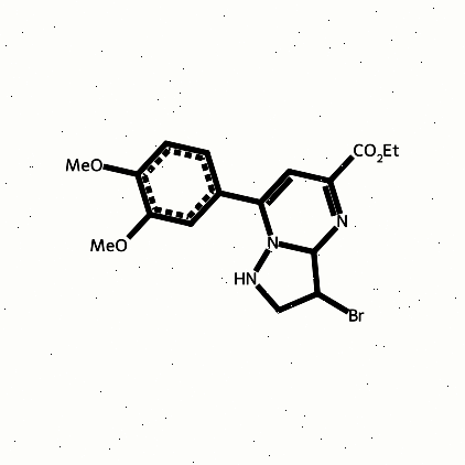 CCOC(=O)C1=NC2C(Br)CNN2C(c2ccc(OC)c(OC)c2)=C1